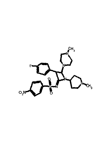 CN1CCC(N2C(=NS(=O)(=O)c3ccc([N+](=O)[O-])cc3)C(c3ccc(F)cc3)C2N2CCN(C)CC2)CC1